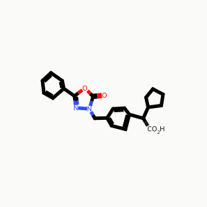 O=C(O)C(c1ccc(Cn2nc(-c3ccccc3)oc2=O)cc1)C1CCCC1